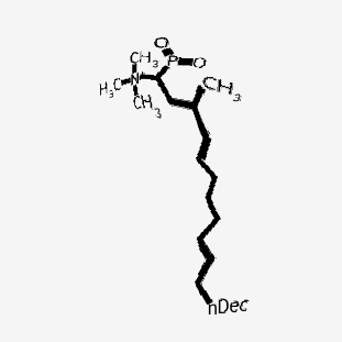 CCCCCCCCCCCCCCCCC=CC(C)CC(P(=O)=O)[N+](C)(C)C